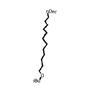 CCCCCCCCCCCCCCCCCCCCCCO[C](C)CC